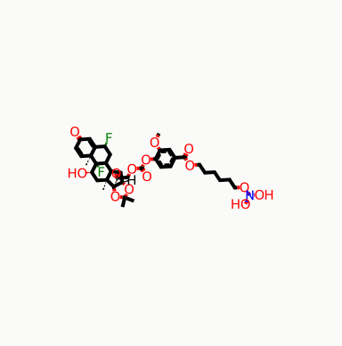 COc1cc(C(=O)OCCCCCCON(O)O)ccc1OC(=O)OCC(=O)[C@@]12OC(C)(C)O[C@@H]1CC1C3C[C@H](F)C4=CC(=O)C=C[C@]4(C)[C@@]3(F)[C@@H](O)C[C@@]12C